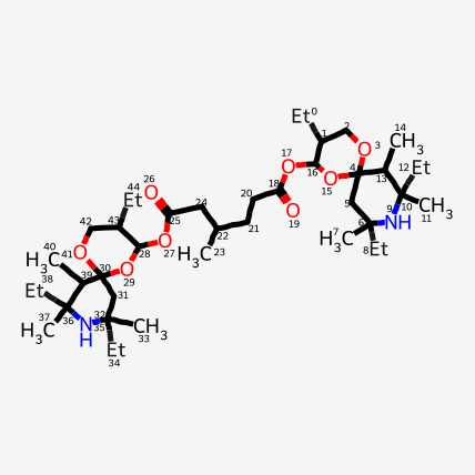 CCC1COC2(CC(C)(CC)NC(C)(CC)C2C)OC1OC(=O)CCC(C)CC(=O)OC1OC2(CC(C)(CC)NC(C)(CC)C2C)OCC1CC